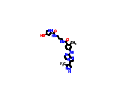 Cc1cc(Nc2nccn3c(-c4c[nH]nc4C(F)(F)F)cnc23)ccc1C(=O)NCCCNC(=O)[C@@H]1C[C@@H](O)CN1